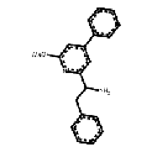 COc1cc(-c2ccccc2)cc(C(N)Cc2ccccc2)n1